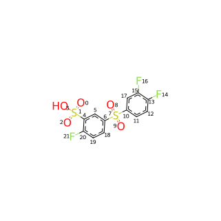 O=S(=O)(O)c1cc(S(=O)(=O)c2ccc(F)c(F)c2)ccc1F